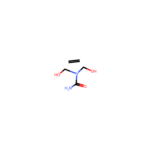 C=C.NC(=O)N(CO)CO